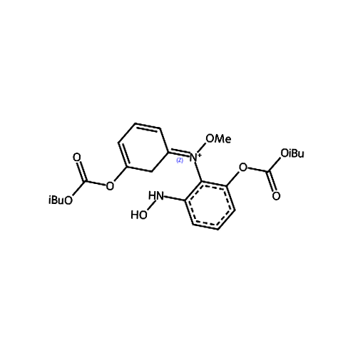 CO/[N+](=C1\C=CC=C(OC(=O)OCC(C)C)C1)c1c(NO)cccc1OC(=O)OCC(C)C